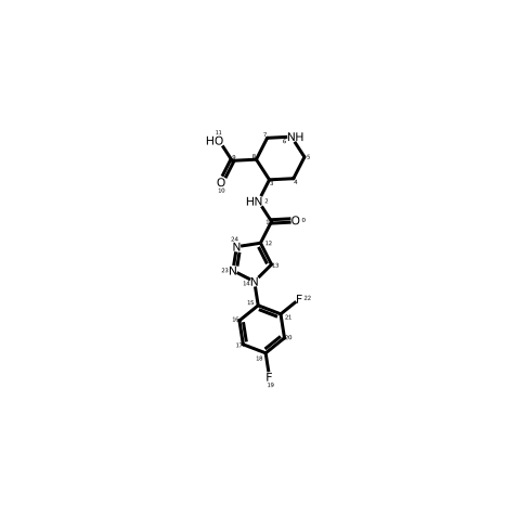 O=C(NC1CCNCC1C(=O)O)c1cn(-c2ccc(F)cc2F)nn1